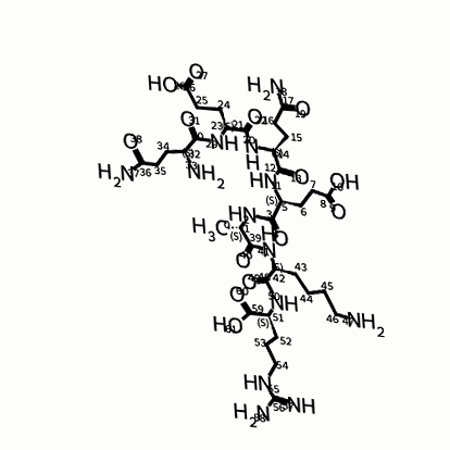 C[C@H](NC(=O)[C@H](CCC(=O)O)NC(=O)[C@H](CCC(N)=O)NC(=O)[C@H](CCC(=O)O)NC(=O)[C@@H](N)CCC(N)=O)C(=O)N[C@@H](CCCCN)C(=O)N[C@@H](CCCNC(=N)N)C(=O)O